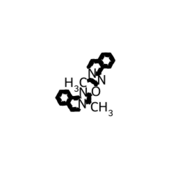 Cc1c(Oc2nc3c4ccccc4ccn3c2C)nc2c3ccccc3ccn12